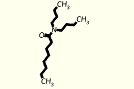 CCCCCCCC(=O)N(CCCC)CCCC